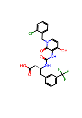 O=C(O)C[C@@H](Cc1cccc(C(F)(F)F)c1)NC(=O)Nc1c(O)ccn(Cc2ccccc2Cl)c1=O